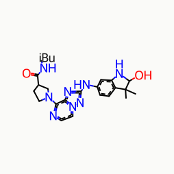 CCC(C)NC(=O)C1CCN(c2nccn3nc(Nc4ccc5c(c4)NC(O)C5(C)C)nc23)C1